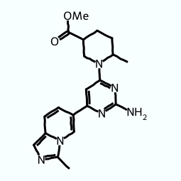 COC(=O)C1CCC(C)N(c2cc(-c3ccc4cnc(C)n4c3)nc(N)n2)C1